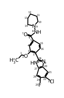 CCOc1cc(C(=O)NN2CCCCC2)ccc1-c1nc2cc(Cl)c(F)cc2[nH]1